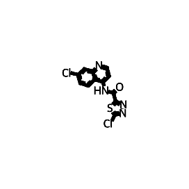 O=C(Nc1ccnc2cc(Cl)ccc12)c1nnc(Cl)s1